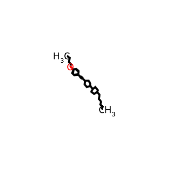 CCCCCCC1CCC(C2CCC(C#Cc3ccc(OCCCC)cc3)CC2)CC1